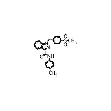 Cc1ccc(NC(=O)c2nn(Cc3ccc(S(C)(=O)=O)cc3)c3ccccc23)cc1